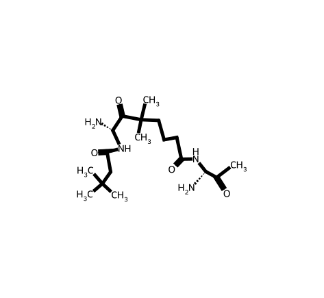 CC(=O)[C@H](N)NC(=O)CCCC(C)(C)C(=O)[C@@H](N)NC(=O)CC(C)(C)C